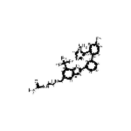 CC(=O)NCCNCc1cc(C(F)(F)F)c2oc(-c3cccc(-c4ccc(F)cc4-c4nncn4C)c3)nc2c1